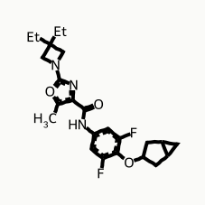 CCC1(CC)CN(c2nc(C(=O)Nc3cc(F)c(OC4CC5CC5C4)c(F)c3)c(C)o2)C1